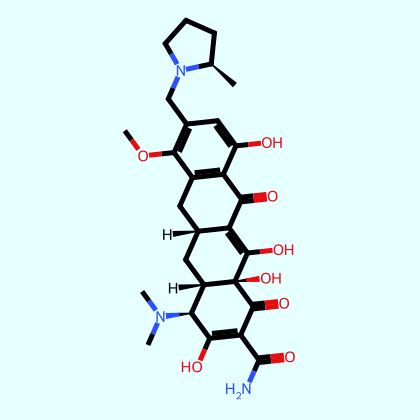 COc1c(CN2CCC[C@H]2C)cc(O)c2c1C[C@H]1C[C@H]3[C@H](N(C)C)C(O)=C(C(N)=O)C(=O)[C@@]3(O)C(O)=C1C2=O